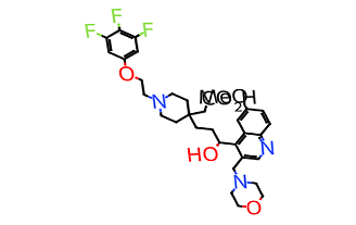 COc1ccc2ncc(CN3CCOCC3)c([C@@H](O)CCC3(CC(=O)O)CCN(CCOc4cc(F)c(F)c(F)c4)CC3)c2c1